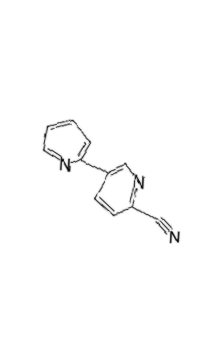 N#Cc1ccc(-c2ccccn2)cn1